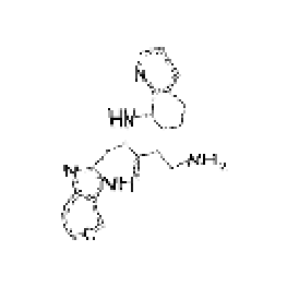 C=C(CCN)C(Cc1nc2ccccc2[nH]1)NC1CCCc2cccnc21